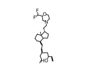 C=CC(O)C/C(=C\C=C1/CCC[C@@]2(C)C1CC[C@@H]2CCN1CCOC(C(F)F)C1)CCC